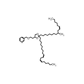 CCCCC/C=C\C/C=C\CCCCCCCCC1(CCCCCCCCC(C)C/C=C\CCCCC)OCC(CCOCc2cccnc2)O1